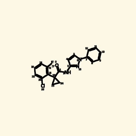 O=C(Nc1ccn(-c2ccccc2)n1)C1(c2c(F)cccc2Cl)CC1